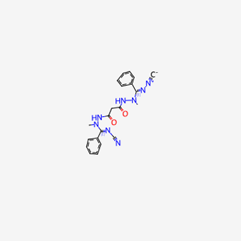 [C-]#[N+]/N=C(\c1ccccc1)N(C)NC(=O)CC(=O)NN(C)/C(=N/C#N)c1ccccc1